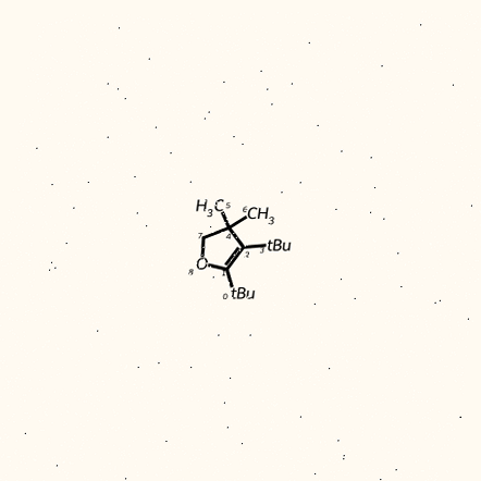 CC(C)(C)C1=C(C(C)(C)C)C(C)(C)CO1